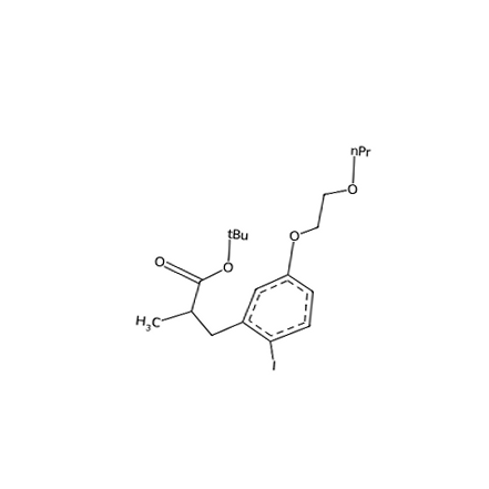 CCCOCCOc1ccc(I)c(CC(C)C(=O)OC(C)(C)C)c1